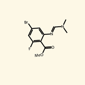 COC(=O)c1c(F)cc(Br)cc1/N=C/N(C)C